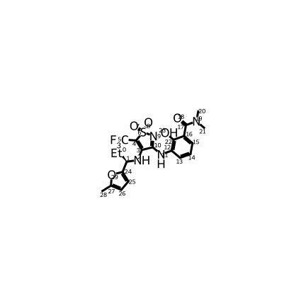 CC[C@@H](NC1=C(C(F)(F)F)S(=O)(=O)N=C1Nc1cccc(C(=O)N(C)C)c1O)c1ccc(C)o1